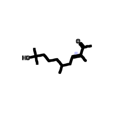 CC(=O)/C(C)=C/CC(C)CCCC(C)(C)O